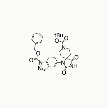 CC(C)(C)OC(=O)N1CCC2(CC1)C(=O)NC(=O)N2c1ccc2c(cnn2C(=O)OCc2ccccc2)c1